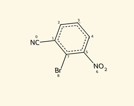 N#Cc1c[c][c]c([N+](=O)[O-])c1Br